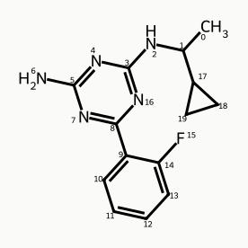 CC(Nc1nc(N)nc(-c2ccccc2F)n1)C1CC1